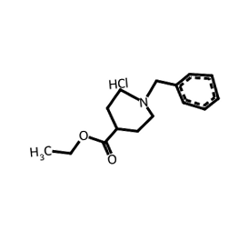 CCOC(=O)C1CCN(Cc2ccccc2)CC1.Cl